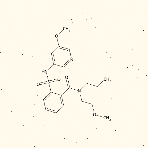 CCCN(CCOC)C(=O)c1ccccc1S(=O)(=O)Nc1cncc(OC)c1